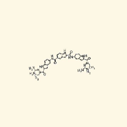 CCN(N=C(N)N)C(=O)c1cc2cc(NC(=O)c3ccc4[nH]c(C(=O)Nc5ccc6[nH]c(C(=O)N(CC)N=C(N)N)cc6c5)cc4c3)ccc2[nH]1